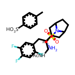 CC(=O)NCCS(=O)(=O)N1C2CCC1CC([C@H](N)Cc1cc(F)c(F)cc1F)C2.Cc1ccc(S(=O)(=O)O)cc1